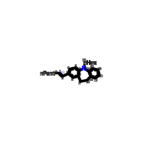 CCCCC/C=C/c1ccc2c(c1)CCc1ccccc1N2CCCCCC